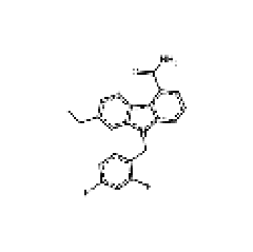 CCc1c[c]c2c3c(C(N)=O)cccc3n(Cc3ccc(F)cc3F)c2c1